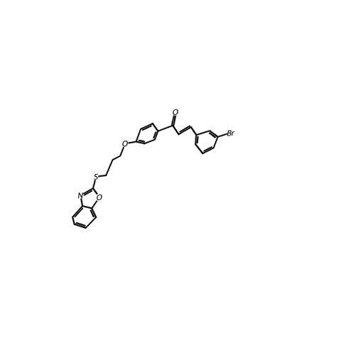 O=C(C=Cc1cccc(Br)c1)c1ccc(OCCCSc2nc3ccccc3o2)cc1